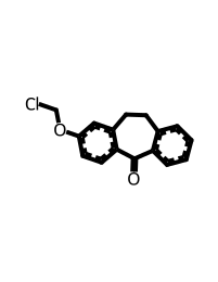 O=C1c2ccccc2CCc2cc(OCCl)ccc21